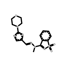 CN(/N=C/c1cnc(N2CCOCC2)s1)C1=NS(=O)(=O)c2ccccc21